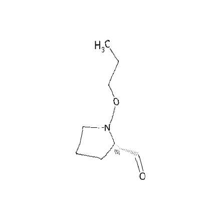 CCCON1CCC[C@H]1C=O